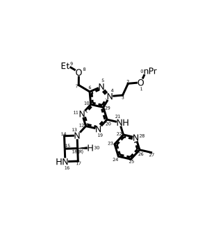 CCCOCCn1nc(COCC)c2nc(N3CC4NC[C@H]43)nc(Nc3cccc(C)n3)c21